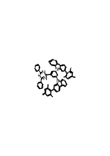 Cc1cc(C)c(-c2ccc3c4ccccc4n(-c4cc(-c5nc(-c6ccccc6)nc(-c6ccccc6)n5)cc(-n5c6ccccc6c6ccc(-c7c(C)cc(C)cc7C)cc65)c4)c3c2)c(C)c1